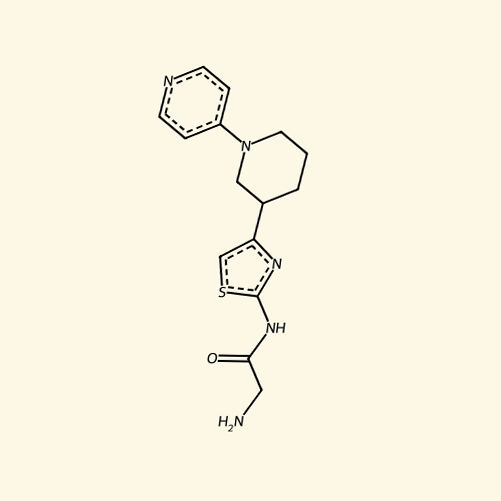 NCC(=O)Nc1nc(C2CCCN(c3ccncc3)C2)cs1